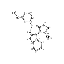 CCOc1ccnc(COc2nc3ccccc3n2-c2nnnn2C)c1